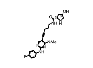 CNc1nc(Nc2ccc(F)cc2)ncc1C#CCCCNC(=O)[C@@H]1C[C@H](O)CN1